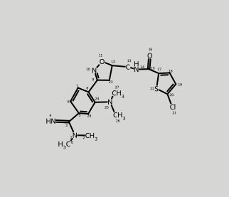 CN(C)C(=N)c1ccc(C2=NOC(CNC(=O)c3ccc(Cl)s3)C2)c(N(C)C)c1